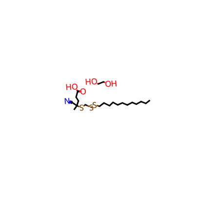 CCCCCCCCCCCCSSCSC(C)(C#N)CCC(=O)O.OCCO